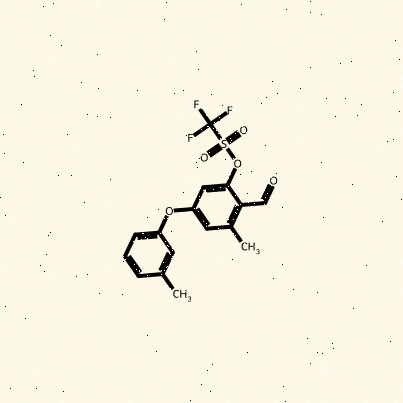 Cc1cccc(Oc2cc(C)c(C=O)c(OS(=O)(=O)C(F)(F)F)c2)c1